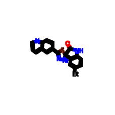 CCc1ccc2c(c1)C1(NN=C(c3ccc4ncccc4c3)S1)C(=O)N2